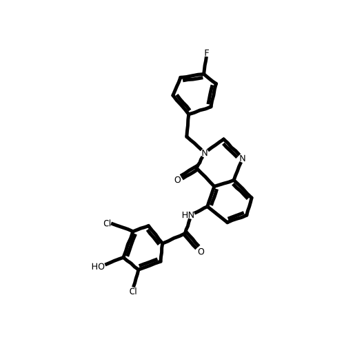 O=C(Nc1cccc2ncn(Cc3ccc(F)cc3)c(=O)c12)c1cc(Cl)c(O)c(Cl)c1